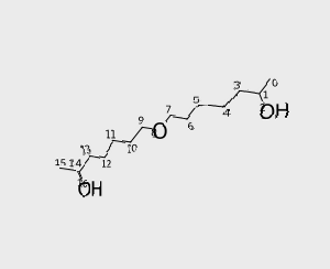 CC(O)CCCCCOCCCCCC(C)O